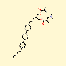 C=C(C)C(=O)OCC(CCCC1CCC(C2CCC(c3ccc(CCCCC)cc3)CC2)CC1)COC(=O)C(=C)CN(C)C